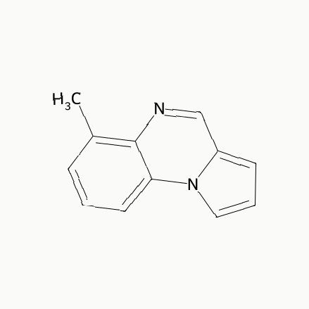 Cc1cccc2c1ncc1cccn12